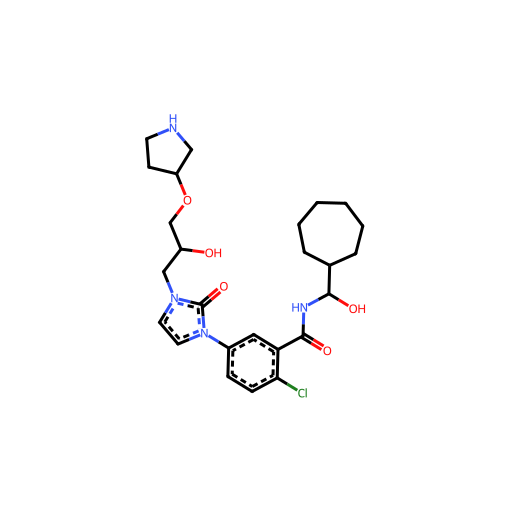 O=C(NC(O)C1CCCCCC1)c1cc(-n2ccn(CC(O)COC3CCNC3)c2=O)ccc1Cl